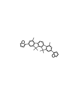 Cc1cc(-c2ccco2)cc2c1-c1ccc3c(c1C2(C)C)C(C)(C)c1cc(-c2ccco2)cc(C)c1-3